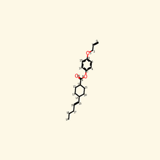 C=CCOc1ccc(OC(=O)C2CCC(C=CCCC)CC2)cc1